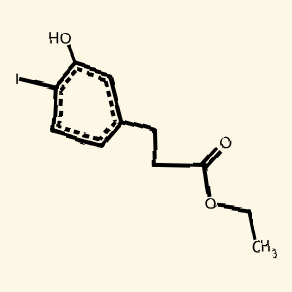 CCOC(=O)CCc1ccc(I)c(O)c1